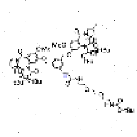 COc1cc2c(cc1OCc1cc(/C=C/C(=O)NCCOCCOCCNC(=O)OC(C)(C)C)cc(COc3cc4c(cc3OC)C(=O)N3C=C(C)C[C@H]3[C@H](O[Si](C)(C)C(C)(C)C)N4C(=O)OC(C)(C)C)c1)N(C(=O)OC(C)(C)C)[C@@H](O[Si](C)(C)C(C)(C)C)[C@@H]1CC(C)=CN1C2=O